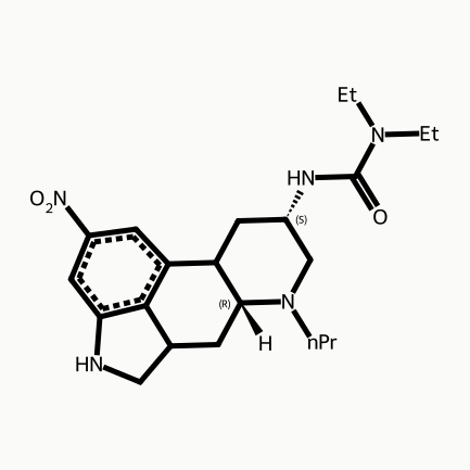 CCCN1C[C@@H](NC(=O)N(CC)CC)CC2c3cc([N+](=O)[O-])cc4c3C(CN4)C[C@H]21